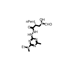 CCCCC[C@H](CN(O)C=O)C(=O)NNc1nc(C)nc(N(C)CC)n1